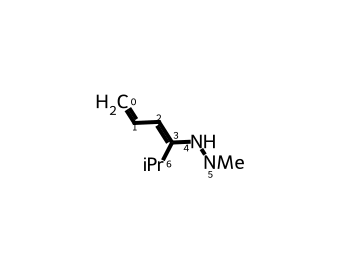 C=C/C=C(/NNC)C(C)C